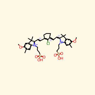 COc1cc2c(cc1C)[N+](CCCS(=O)(=O)O)=C(/C=C/C1=C(Cl)C(=C/C=C3\N(CCCS(=O)(=O)O)c4cc(C)c(OC)cc4C3(C)C)/CCC1)C2(C)C